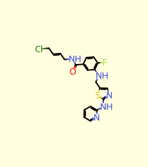 O=C(NCC=CCCl)c1ccc(F)c(NCc2cnc(Nc3ccccn3)s2)c1